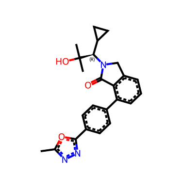 Cc1nnc(-c2ccc(-c3cccc4c3C(=O)N([C@H](C3CC3)C(C)(C)O)C4)cc2)o1